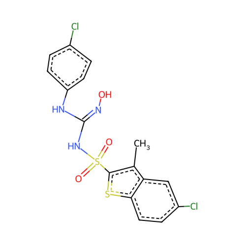 Cc1c(S(=O)(=O)NC(=NO)Nc2ccc(Cl)cc2)sc2ccc(Cl)cc12